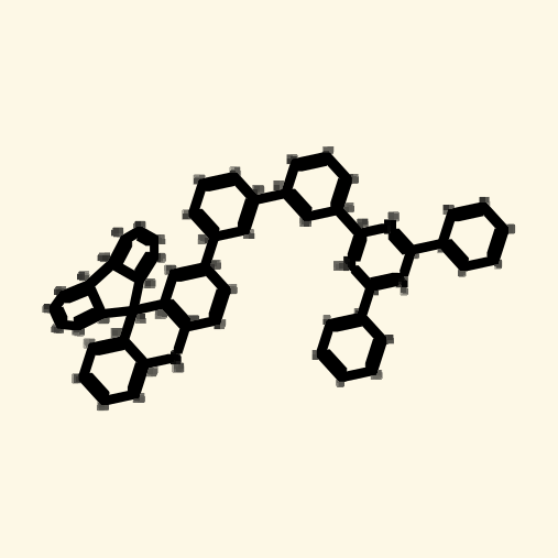 c1ccc(-c2nc(-c3ccccc3)nc(-c3cccc(-c4cccc(-c5ccc6c(c5)C5(c7ccccc7S6)c6ccccc6-c6ccccc65)c4)c3)n2)cc1